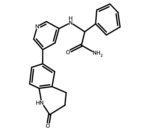 NC(=O)C(Nc1cncc(-c2ccc3c(c2)CCC(=O)N3)c1)c1ccccc1